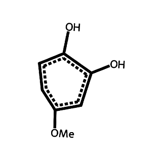 [CH2]Oc1ccc(O)c(O)c1